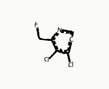 FCc1nccc(Cl)c1Cl